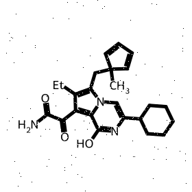 CCc1c(C(=O)C(N)=O)c2c(O)nc(C3CCCCC3)cn2c1CC1(C)C=CC=C1